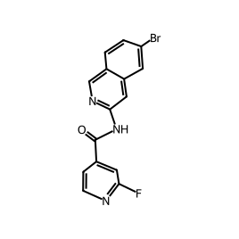 O=C(Nc1cc2cc(Br)ccc2cn1)c1ccnc(F)c1